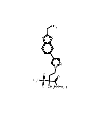 CCc1nc2ccc(-c3cnn(CCC(C)(C(=O)NO)S(C)(=O)=O)c3)cc2s1